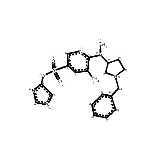 Cc1cc(S(=O)(=O)Nc2cscn2)cnc1N(C)C1CCN(Cc2ccccc2)C1